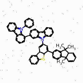 CC1(C)c2cc(C3=CC(n4c5ccccc5c5ccc(-c6cccc7c8ccccc8n(-c8ccccc8)c67)cc54)=CC4c5ccccc5SC34)ccc2C2(C)C=CC=CC12